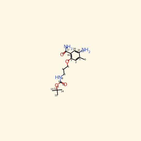 Cc1cc(OCCCNC(=O)OC(C)(C)C)c(C(N)=O)cc1N